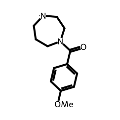 COc1ccc(C(=O)N2CCC[N]CC2)cc1